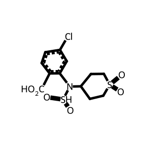 O=C(O)c1ccc(Cl)cc1N(C1CCS(=O)(=O)CC1)[SH](=O)=O